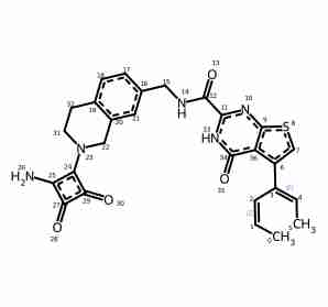 C/C=C\C(=C/C)c1csc2nc(C(=O)NCc3ccc4c(c3)CN(c3c(N)c(=O)c3=O)CC4)[nH]c(=O)c12